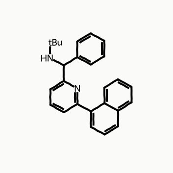 CC(C)(C)NC(c1ccccc1)c1cccc(-c2cccc3ccccc23)n1